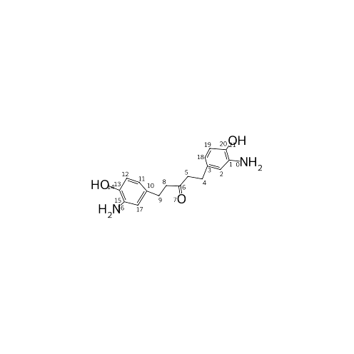 Nc1cc(CCC(=O)CCc2ccc(O)c(N)c2)ccc1O